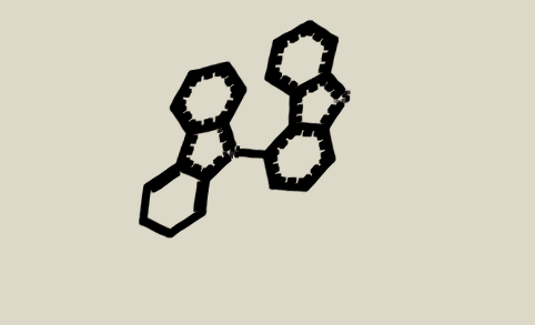 C1=c2c(n(-c3cccc4sc5ccccc5c34)c3ccccc23)=CCC1